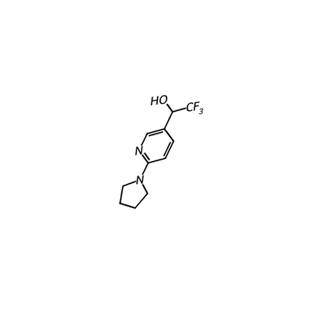 OC(c1ccc(N2CCCC2)nc1)C(F)(F)F